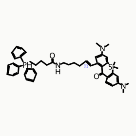 CN(C)c1ccc2c(c1)[Si](C)(C)c1cc(N(C)C)cc(/C=C/CCCCNC(=O)CCCC[PH](c3ccccc3)(c3ccccc3)c3ccccc3)c1C2=O